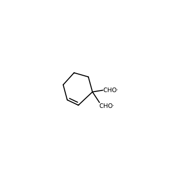 O=[C]C1([C]=O)C=CCCC1